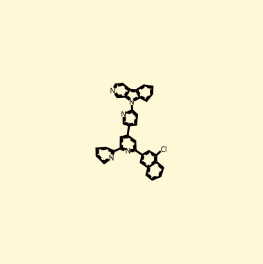 Clc1cc(-c2cc(-c3ccc(-n4c5ccccc5c5ccncc54)nc3)cc(-c3ccccn3)n2)cc2ccccc12